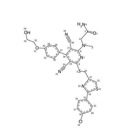 CN(CC(N)=O)c1nc(SCc2csc(-c3ccc(Cl)cc3)n2)c(C#N)c(-c2ccc(OCCO)cc2)c1C#N